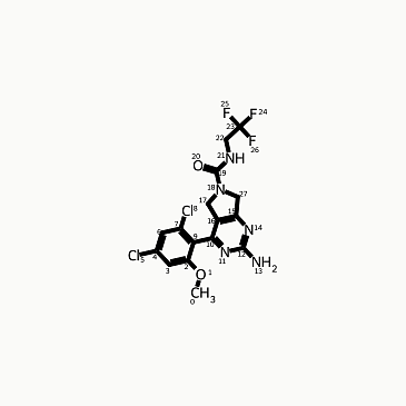 COc1cc(Cl)cc(Cl)c1-c1nc(N)nc2c1CN(C(=O)NCC(F)(F)F)C2